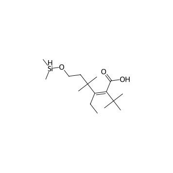 CCC(=C(C(=O)O)C(C)(C)C)C(C)(C)CCO[SiH](C)C